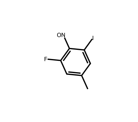 Cc1cc(F)c(N=O)c(I)c1